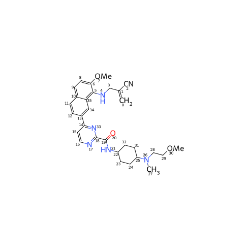 C=C(C#N)CNc1c(OC)ccc2ccc(-c3ccnc(C(=O)NC4CCC(N(C)CCOC)CC4)n3)cc12